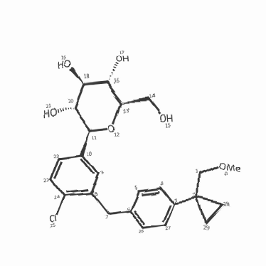 COCC1(c2ccc(Cc3cc([C@@H]4O[C@H](CO)[C@@H](O)[C@H](O)[C@H]4O)ccc3Cl)cc2)CC1